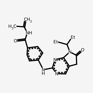 C=C(C)NC(=O)c1ccc(Nc2ncc3c(n2)N(C(CC)CC)C(=O)C3)cc1